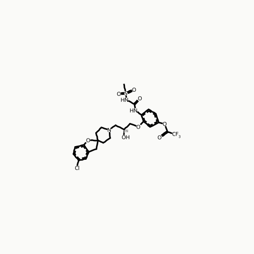 CS(=O)(=O)NC(=O)Nc1ccc(OC(=O)C(F)(F)F)cc1OC[C@@H](O)CN1CCC2(CC1)Cc1cc(Cl)ccc1O2